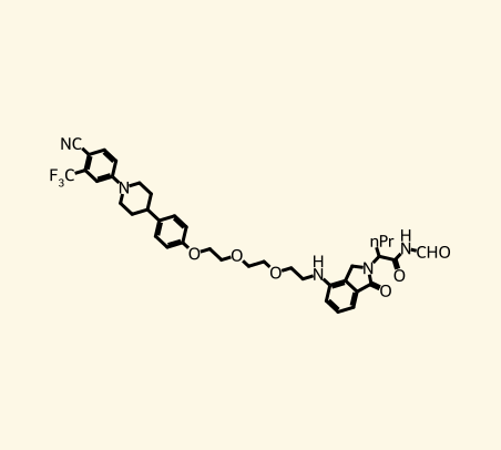 CCCC(C(=O)NC=O)N1Cc2c(NCCOCCOCCOc3ccc(C4CCN(c5ccc(C#N)c(C(F)(F)F)c5)CC4)cc3)cccc2C1=O